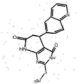 CCCCSc1nc2c(c(=O)[nH]1)C(c1ccc3ncccc3c1)CC(=O)N2